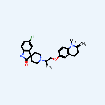 C=C1CCc2cc(OCC(C)N3CCC4(CC3)C(=O)Nc3ccc(Cl)cc34)ccc2N1C